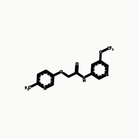 O=C(COc1ccc(C(F)(F)F)nc1)Nc1cncc(OC(F)(F)F)c1